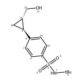 CC(C)(C)NS(=O)(=O)c1ccc([C@H]2C[C@@H]2CO)cc1